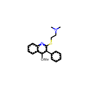 COc1c(-c2ccccc2)c(SCCN(C)C)nc2ccccc12